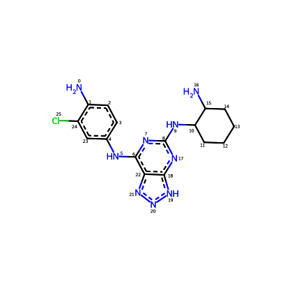 Nc1ccc(Nc2nc(NC3CCCCC3N)nc3[nH]nnc23)cc1Cl